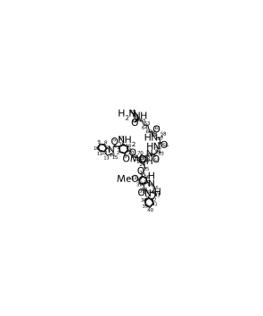 COc1cc(C(=O)N2c3ccccc3C[C@H]2C)c(N)cc1OCc1cc(COc2cc3c(cc2OC)C(=O)N2c4ccccc4C[C@H]2CN3)cc(NC(=O)[C@H](C)NC(=O)[C@H](C)NC(=O)CCCCC(=O)NN)c1